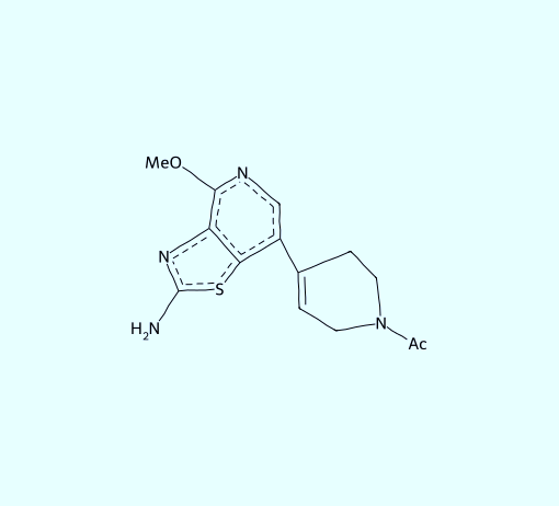 COc1ncc(C2=CCN(C(C)=O)CC2)c2sc(N)nc12